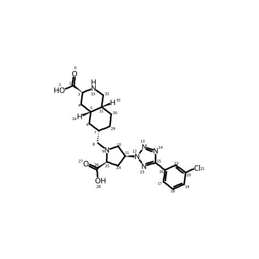 O=C(O)[C@@H]1C[C@H]2C[C@@H](CN3C[C@@H](n4nnc(-c5cccc(Cl)c5)n4)C[C@H]3C(=O)O)CC[C@H]2CN1